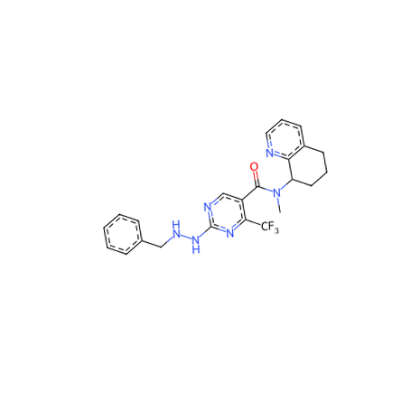 CN(C(=O)c1cnc(NNCc2ccccc2)nc1C(F)(F)F)C1CCCc2cccnc21